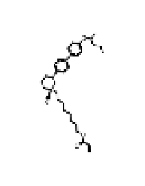 C=CC(=O)OCCCCCCCCC1(C#N)CCCC(c2ccc(-c3ccc(OC(C)CCC)cc3)cc2)C1